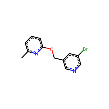 Cc1cccc(OCc2cncc(Br)c2)n1